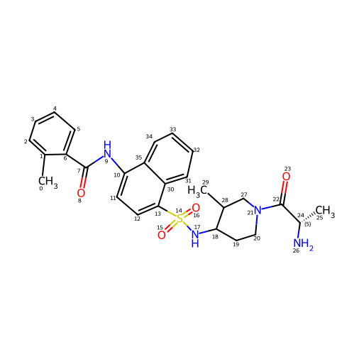 Cc1ccccc1C(=O)Nc1ccc(S(=O)(=O)NC2CCN(C(=O)[C@H](C)N)CC2C)c2ccccc12